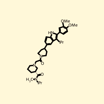 COc1ccc(-c2[nH]c3ccc(C4CCN(C(=O)CN5CCC[C@@H](C(=O)N(C)C(C)C)C5)CC4)cc3c2C(C)C)cc1OC